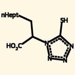 CCCCCCCCC(C(=O)O)n1nnnc1S